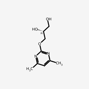 Cc1[c]c(C)nc(OC[C@H](O)CO)n1